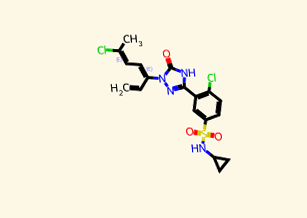 C=C/C(=C\C=C(/C)Cl)n1nc(-c2cc(S(=O)(=O)NC3CC3)ccc2Cl)[nH]c1=O